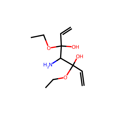 C=CC(O)(OCC)C(N)C(O)(C=C)OCC